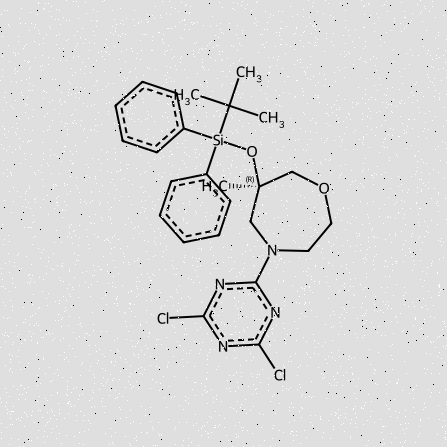 CC(C)(C)[Si](O[C@@]1(C)COCCN(c2nc(Cl)nc(Cl)n2)C1)(c1ccccc1)c1ccccc1